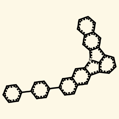 c1ccc(-c2ccc(-c3ccc4cc5c6cccc7c8cc9ccccc9cc8n(c5cc4c3)c76)cc2)cc1